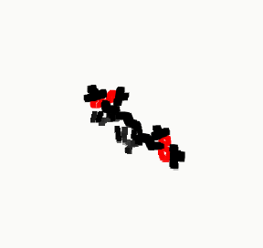 CC(C)(C)OC(CC[SiH2]CCC[SiH2]CCC(OC(C)(C)C)OC(C)(C)C)OC(C)(C)C